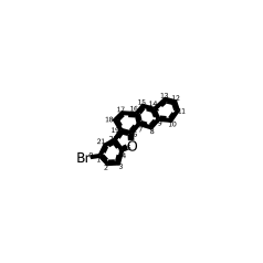 Brc1ccc2oc3c4cc5ccccc5cc4ccc3c2c1